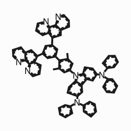 Cc1cc(-n2c3ccc(N(c4ccccc4)c4ccccc4)cc3c3cc(N(c4ccccc4)c4ccccc4)ccc32)cc(C)c1-c1cc(-c2cc3cccnc3c3ncccc23)cc(-c2cc3cccnc3c3ncccc23)c1